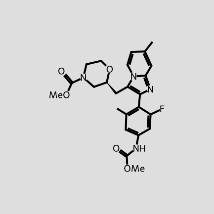 COC(=O)Nc1cc(C)c(-c2nc3cc(C)ccn3c2C[C@H]2CN(C(=O)OC)CCO2)c(F)c1